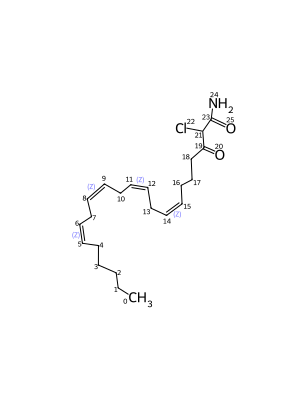 CCCCC/C=C\C/C=C\C/C=C\C/C=C\CCCC(=O)C(Cl)C(N)=O